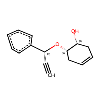 C#C[C@@H](O[C@H]1CC=CC[C@H]1O)c1ccccc1